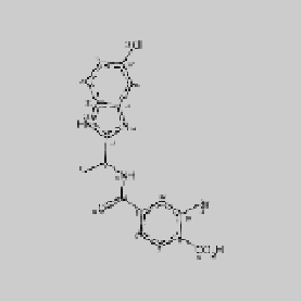 CC(NC(=O)c1ccc(C(=O)O)c(Br)c1)c1nc2cc(Cl)ccc2[nH]1